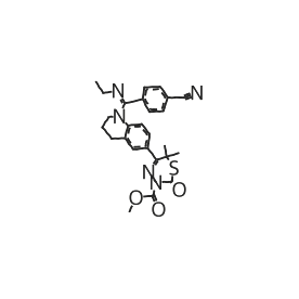 CC/N=C(/c1ccc(C#N)cc1)N1CCCc2cc(C3=NN(C(=O)OC)C(=O)SC3(C)C)ccc21